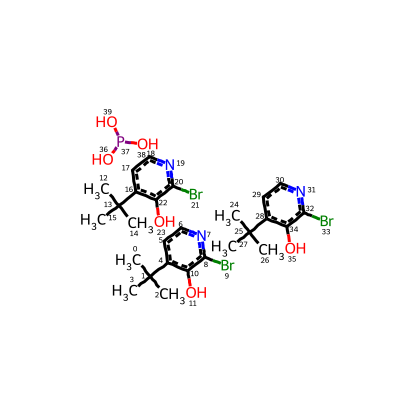 CC(C)(C)c1ccnc(Br)c1O.CC(C)(C)c1ccnc(Br)c1O.CC(C)(C)c1ccnc(Br)c1O.OP(O)O